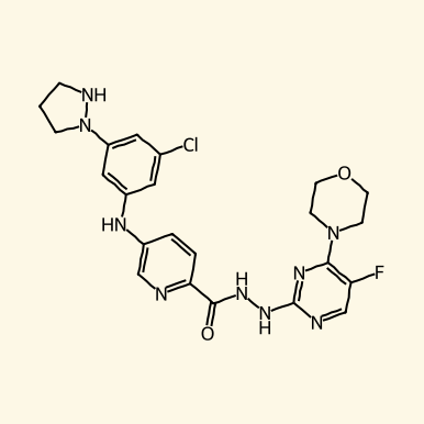 O=C(NNc1ncc(F)c(N2CCOCC2)n1)c1ccc(Nc2cc(Cl)cc(N3CCCN3)c2)cn1